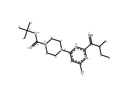 CCC(C)C(=N)c1nc(Cl)cc(N2CCN(C(=O)OC(C)(C)C)CC2)n1